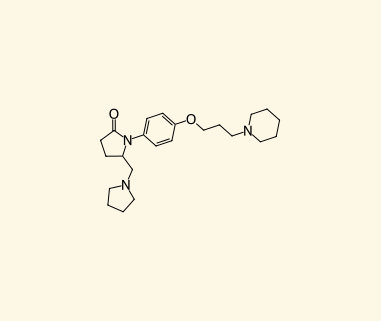 O=C1CCC(CN2CCCC2)N1c1ccc(OCCCN2CCCCC2)cc1